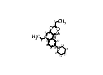 CCC(=O)Oc1cn(CC)c2ccc(N3CCCCC3)cc2c1=O